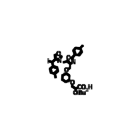 Cc1ccc(-c2nc(CO[C@H]3CCC[C@@H](OCC(OCC(C)C)C(=O)O)C3)c(C)o2)cc1.Cc1ccc(C(I)c2cocn2)cc1